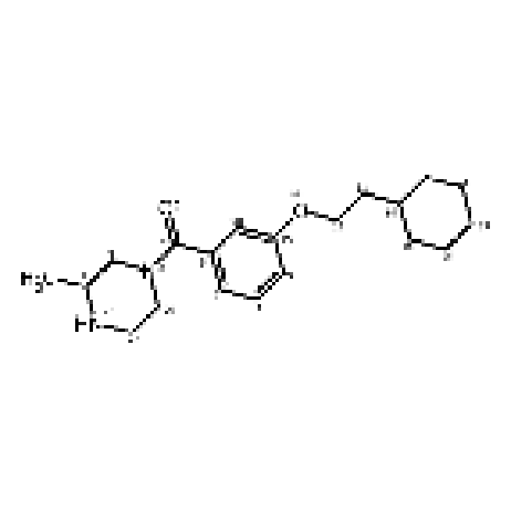 CC1CN(C(=O)c2cccc(OCCC3CCCCC3)c2)CCN1